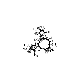 CC[C@H]1OC(=O)[C@H](C)[C@@H](O[C@H]2CC(C)(OC)[C@@H](O)C(C)O2)C(C)[C@@H](O[C@@H]2OC(C)CC(N(C)C)C2O)[C@](C)(O)C[C@@H](C)C(=O)[C@H](C)[C@@H](O)[C@]1(C)O